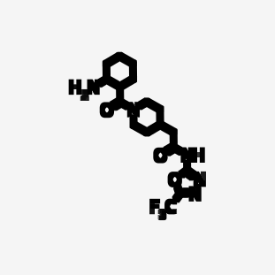 NC1CCCCC1C(=O)N1CCC(CC(=O)Nc2nnc(C(F)(F)F)o2)CC1